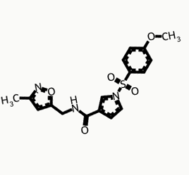 COc1ccc(S(=O)(=O)n2ccc(C(=O)NCc3cc(C)no3)c2)cc1